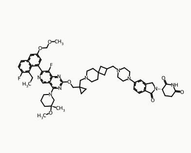 CCc1c(F)ccc2cc(OCOC)cc(-c3ncc4c(N5CCC[C@@](C)(OC)C5)nc(OCC5(CN6CCC7(CC6)CC(CN6CCN(c8ccc9c(c8)CN([C@H]8CCC(=O)NC8=O)C9=O)CC6)C7)CC5)nc4c3F)c12